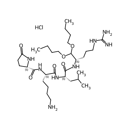 CCCCOC(OCCCC)[C@H](CCCNC(=N)N)NC(=O)[C@H](CC(C)C)NC(=O)[C@H](CCCCN)NC(=O)[C@@H]1CCC(=O)N1.Cl